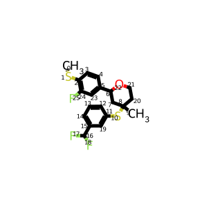 CSc1ccc(C2CC(C)(Sc3cccc(C(F)F)c3)CCO2)cc1F